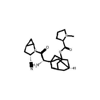 CN1CCCC1C(=O)OC12CC3C[C@H](C1)CC([C@H](N)C(=O)N1C4CC4C[C@H]1C#N)(C3)C2